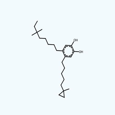 CCC(C)(C)CCCCCc1cc(O)c(O)cc1CCCCCC1(C)CC1